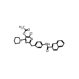 CC(=O)Oc1c(Cl)nc(Cc2ccc(NC(=O)c3ccc4ccccc4c3)cc2)nc1N1CCCCC1